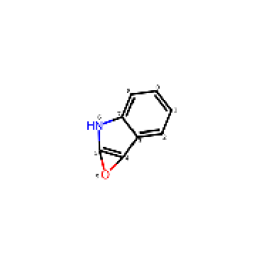 c1ccc2c3c([nH]c2c1)O3